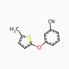 [CH2]c1ccc(Oc2cccc(C#N)c2)s1